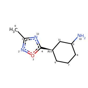 Cc1noc([C@@H]2CCCC(N)C2)n1